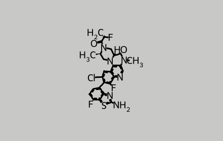 C=C(F)C(=O)N1C[C@@H]2C(=O)N(C)c3cnc4c(F)c(-c5ccc(F)c6sc(N)nc56)c(Cl)cc4c3N2C[C@H]1C